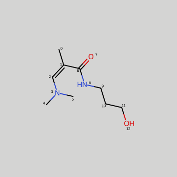 CC(=CN(C)C)C(=O)NCCCO